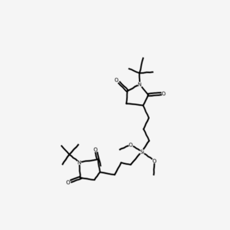 CO[Si](CCCC1CC(=O)N(C(C)(C)C)C1=O)(CCCC1CC(=O)N(C(C)(C)C)C1=O)OC